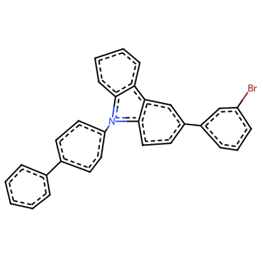 Brc1cccc(-c2ccc3c(c2)c2ccccc2n3-c2ccc(-c3ccccc3)cc2)c1